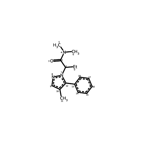 CCC(C(=O)N(C)C)n1ncc(C)c1-c1ccccc1